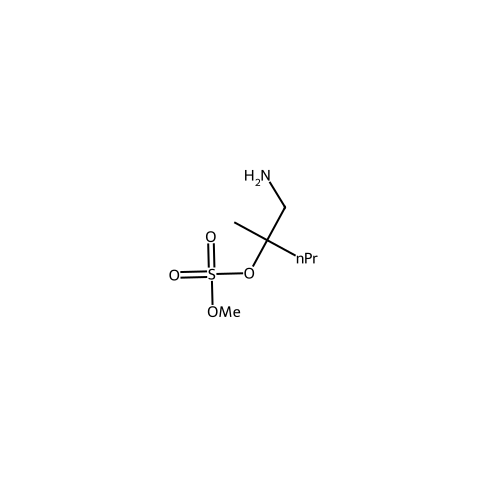 CCCC(C)(CN)OS(=O)(=O)OC